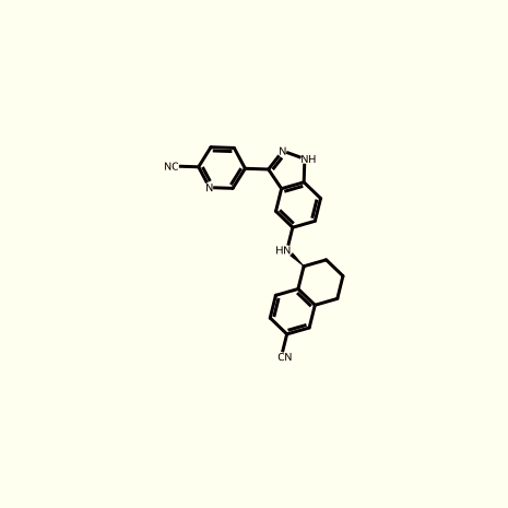 N#Cc1ccc2c(c1)CCC[C@@H]2Nc1ccc2[nH]nc(-c3ccc(C#N)nc3)c2c1